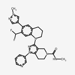 CNC(=O)N1CCc2c(c(N3CCCc4cc(-c5cnn(C)c5)c(C(F)F)cc43)nn2-c2cccnc2)C1